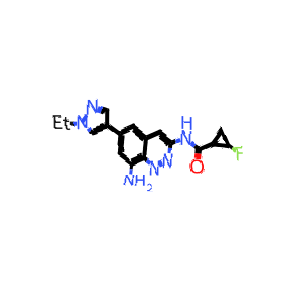 CCn1cc(-c2cc(N)c3nnc(NC(=O)C4CC4F)cc3c2)cn1